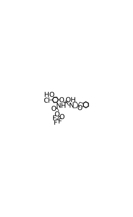 O=C(COC(=O)C(F)(F)F)Nc1cc(Cl)c(O)cc1OC[C@H](O)CN1CCC2(CC1)Cc1ccccc1O2